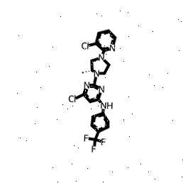 C[C@@H]1CN(c2ncccc2Cl)CCN1c1nc(Cl)cc(Nc2ccc(C(F)(F)F)cc2)n1